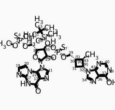 COP(O)(=S)OC[C@H]1O[C@@H](n2cnc3c(=O)[nH]c4nccn4c32)[C@H](OP(O)(=S)OC[C@H]2C[C@@H](n3cnc4c(O)ncnc43)[C@@H]2C)C1O[Si](C)(C)C(C)(C)C